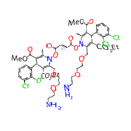 CCOC(=O)C1=C(COCCOCCN)N(OC(=O)/C=C/C(=O)ON2C(C)=C(C(=O)OC)C(c3cccc(Cl)c3Cl)C(C(=O)OCC)=C2COCCOCCN)C(C)=C(C(=O)OC)C1c1cccc(Cl)c1Cl